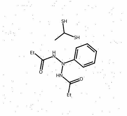 CC(S)S.CCC(=O)NN(NC(=O)CC)c1ccccc1